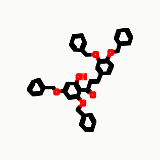 O=C(/C=C/c1ccc(OCc2ccccc2)c(OCc2ccccc2)c1)c1c(O)cc(OCc2ccccc2)cc1OCc1ccccc1